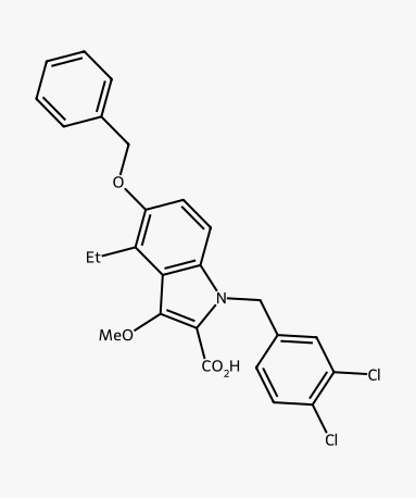 CCc1c(OCc2ccccc2)ccc2c1c(OC)c(C(=O)O)n2Cc1ccc(Cl)c(Cl)c1